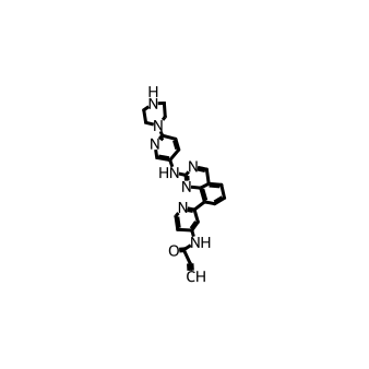 C#CC(=O)Nc1ccnc(-c2cccc3cnc(Nc4ccc(N5CCNCC5)nc4)nc23)c1